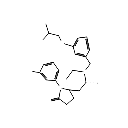 CC(C)COc1cccc(CN2CC[C@@]3(CCC(=O)N3c3cccc(F)c3)C[C@H]2C)c1